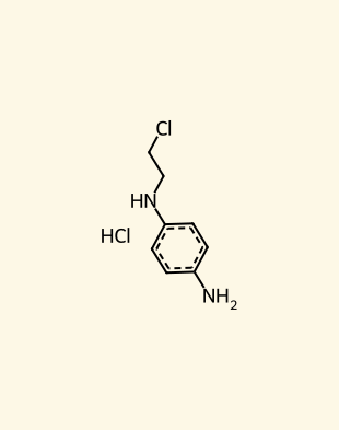 Cl.Nc1ccc(NCCCl)cc1